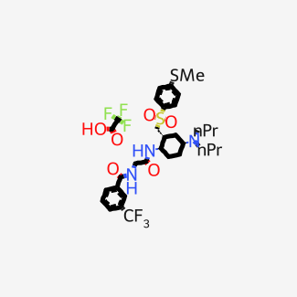 CCCN(CCC)[C@@H]1CC[C@H](NC(=O)CNC(=O)c2cccc(C(F)(F)F)c2)[C@H](CS(=O)(=O)c2ccc(SC)cc2)C1.O=C(O)C(F)(F)F